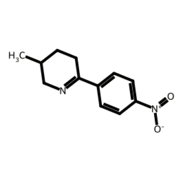 CC1CCC(c2ccc([N+](=O)[O-])cc2)=NC1